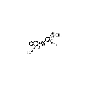 CCOCN1C(=O)C(n2cc(C3C=C(OC)C(n4cnc(C)c4)=CC3)nn2)CCc2ccccc21